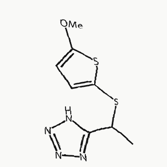 COc1ccc(SC(C)c2nnn[nH]2)s1